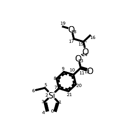 C=C[Si](C=C)(CC)c1ccc(C(=O)OO[C](C)COC)cc1